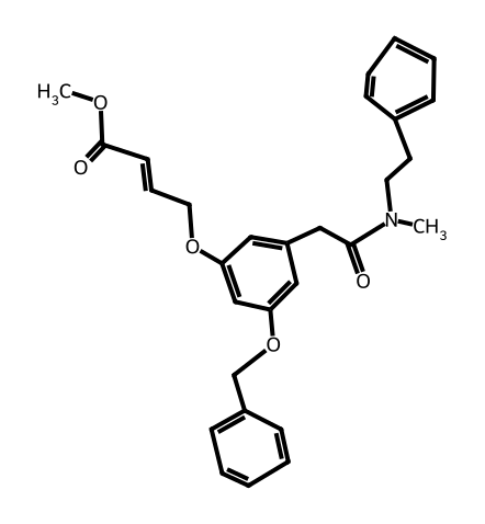 COC(=O)C=CCOc1cc(CC(=O)N(C)CCc2ccccc2)cc(OCc2ccccc2)c1